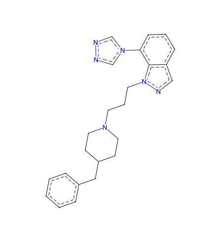 c1ccc(CC2CCN(CCCn3ncc4cccc(-n5cnnc5)c43)CC2)cc1